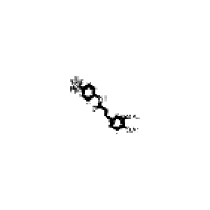 CC(=O)Oc1ccc(C=CC(=O)Nc2ccc(S(F)(F)(F)(F)F)cc2)cc1OC(C)=O